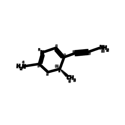 C[C@@H]1CC(N)=NC=C1C#CN